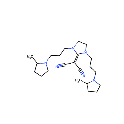 CC1CCCN1CCCN1CCN(CCCN2CCCC2C)C1=C(C#N)C#N